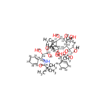 CC(=O)O[C@@]12CO[C@@H]1C[C@H](O)[C@@]1(C)C(=O)[C@H](O)C3=C(C)[C@@H](OC(=O)[C@H](O)[C@@H](NC(=O)C(C)(C)C)c4ccccc4)C[C@@](O)([C@@H](OC(=O)c4ccccc4)C12)C3(C)C